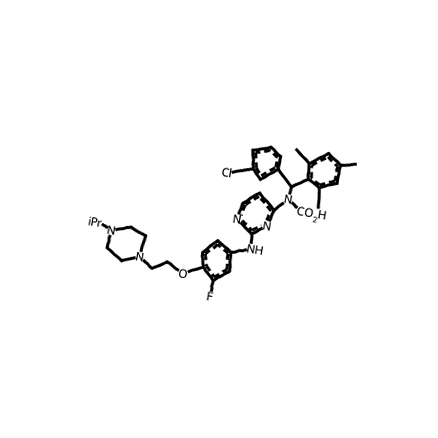 Cc1cc(C)c(C(c2cccc(Cl)c2)N(C(=O)O)c2ccnc(Nc3ccc(OCCN4CCN(C(C)C)CC4)c(F)c3)n2)c(C)c1